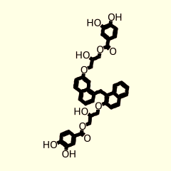 O=C(OCC(O)COc1ccc2cccc(Cc3c(OCC(O)COC(=O)c4ccc(O)c(O)c4)ccc4ccccc34)c2c1)c1ccc(O)c(O)c1